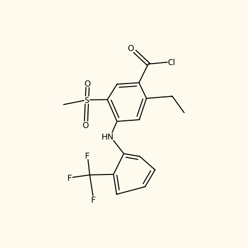 CCc1cc(Nc2ccccc2C(F)(F)F)c(S(C)(=O)=O)cc1C(=O)Cl